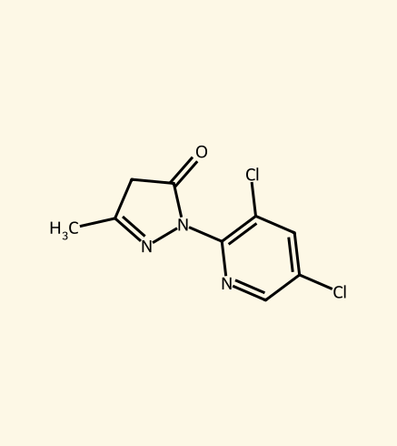 CC1=NN(c2ncc(Cl)cc2Cl)C(=O)C1